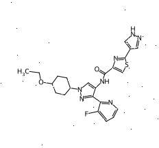 CCOC1CCC(n2cc(NC(=O)c3csc(-c4cn[nH]c4)n3)c(-c3ncccc3F)n2)CC1